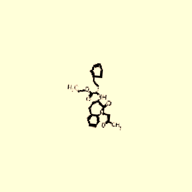 CCOC(=O)[C@H](CCc1ccccc1)NC1CCc2ccccc2N(CC(C)=O)C1=O